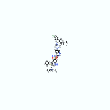 CN(C)CC[C@H](CSc1ccccc1)Nc1ccc(S(=O)(=O)Nc2ncnc3cc(N4CCN(CC5=C(c6ccc(Cl)cc6)CCC(C)(C)C5)CC4)ccc23)cc1N=O